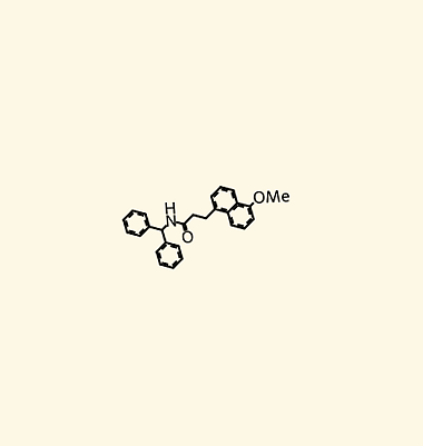 COc1cccc2c(CCC(=O)NC(c3ccccc3)c3ccccc3)cccc12